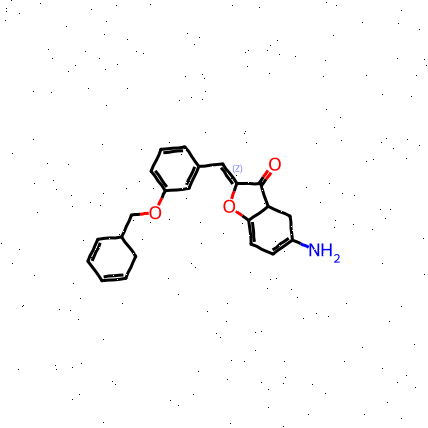 NC1=CC=C2O/C(=C\c3cccc(OCC4C=CC=CC4)c3)C(=O)C2C1